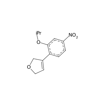 CC(C)Oc1cc([N+](=O)[O-])ccc1C1=CCOC1